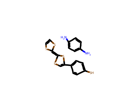 Nc1ccc(N)cc1.Sc1ccc(C2=CSC(=C3SC=CS3)S2)cc1